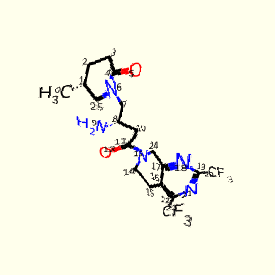 C[C@@H]1CCC(=O)N(C[C@@H](N)CC(=O)N2CCc3c(nc(C(F)(F)F)nc3C(F)(F)F)C2)C1